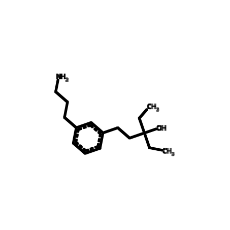 CCC(O)(CC)CCc1cccc(CCCN)c1